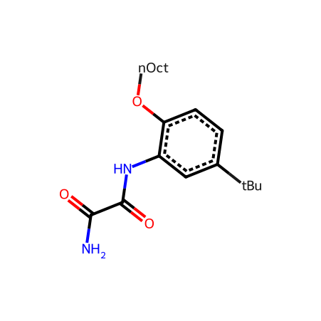 CCCCCCCCOc1ccc(C(C)(C)C)cc1NC(=O)C(N)=O